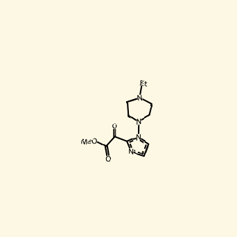 CCN1CCN(n2ccnc2C(=O)C(=O)OC)CC1